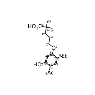 CCc1cc(C(C)=O)c(O)cc1OCCCC(C)(C)C(=O)O